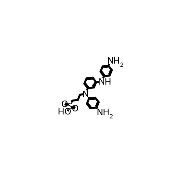 Nc1ccc(Nc2cccc(N(CCCS(=O)(=O)O)c3ccc(N)cc3)c2)cc1